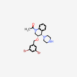 CC(=O)N1C[C@@H](OCc2cc(Br)cc(Br)c2)[C@@H](N2CCNCC2)c2ccccc21